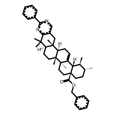 C[C@H]1[C@H](C)CC[C@]2(C(=O)OCc3ccccc3)CC[C@]3(C)C(=CC[C@@H]4[C@@]5(C)Cc6cnc(-c7ccccc7)nc6C(C)(C)[C@@H]5CC[C@]43C)[C@H]12